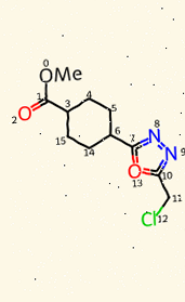 COC(=O)C1CCC(c2nnc(CCl)o2)CC1